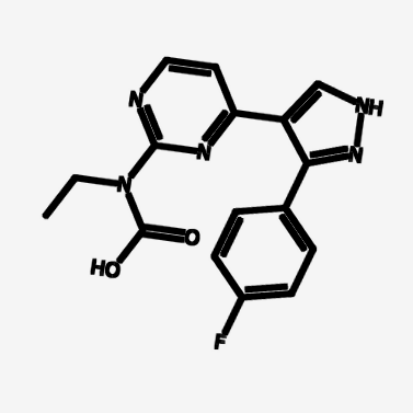 CCN(C(=O)O)c1nccc(-c2c[nH]nc2-c2ccc(F)cc2)n1